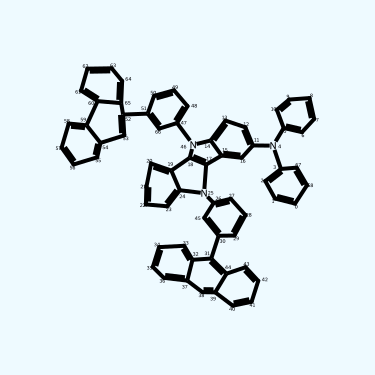 c1ccc(N(c2ccccc2)c2ccc3c(c2)c2c(c4ccccc4n2-c2cccc(-c4c5ccccc5cc5ccccc45)c2)n3-c2cccc(-c3cc4ccccc4c4ccccc34)c2)cc1